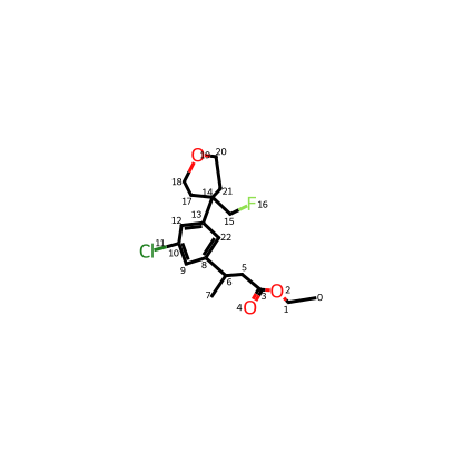 CCOC(=O)CC(C)c1cc(Cl)cc(C2(CF)CCOCC2)c1